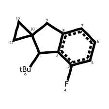 CC(C)(C)C1c2c(F)cccc2CC12CC2